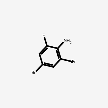 CC(C)c1cc(Br)cc(F)c1N